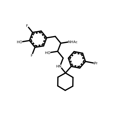 CC(=O)NC(Cc1cc(F)c(O)c(F)c1)C(O)CNC1(c2cccc(C(C)C)c2)CCCCC1